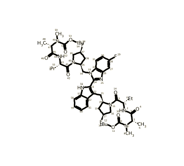 CC[C@H](NC(=O)[C@H](C)N(C)C(=O)OC(C)(C)C)C(=O)N1C[C@@H](F)C[C@H]1Cc1c(-c2nc3cc(F)ccc3n2C[C@@H]2C[C@H](F)CN2C(=O)[C@@H](NC(=O)[C@H](C)N(C)C(=O)OC(C)(C)C)C(C)C)[nH]c2ccccc12